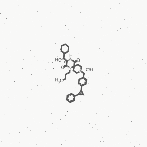 CCCCN1C(=O)[C@@H]([C@H](O)C2CCCCC2)NC(=O)C12CCN(Cc1ccc(C3CC3c3ccccc3)cc1)CC2.Cl